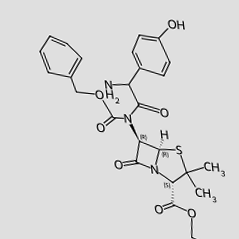 CC1(C)S[C@@H]2[C@H](N(C(=O)OCc3ccccc3)C(=O)C(N)c3ccc(O)cc3)C(=O)N2[C@H]1C(=O)OCCl